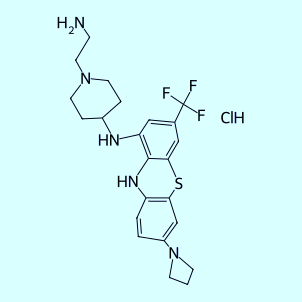 Cl.NCCN1CCC(Nc2cc(C(F)(F)F)cc3c2Nc2ccc(N4CCC4)cc2S3)CC1